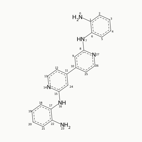 Nc1ccccc1Nc1cc(-c2ccnc(Nc3ccccc3N)c2)ccn1